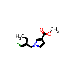 CC/C(=C\F)Cn1ccc(C(=O)OC)c1